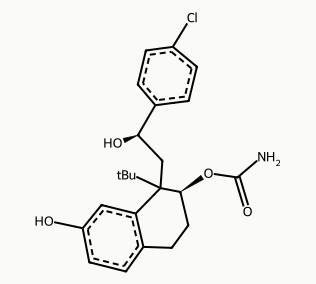 CC(C)(C)C1(C[C@@H](O)c2ccc(Cl)cc2)c2cc(O)ccc2CC[C@@H]1OC(N)=O